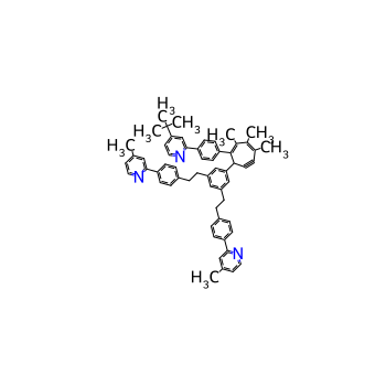 CC1=C(C)C(C)=C(c2ccc(-c3cc(C(C)(C)C)ccn3)cc2)C(c2cc(CCc3ccc(-c4cc(C)ccn4)cc3)cc(CCc3ccc(-c4cc(C)ccn4)cc3)c2)C#C1